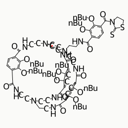 CCCCOc1c2ccc(c1OCCCC)C(=O)NCCN1CCNC(=O)c3ccc(c(OCCCC)c3OCCCC)C(=O)NCCN(CCNC2=O)CCNC(=O)c2ccc(c(OCCCC)c2OCCCC)C(=O)NCCN(CCNC(=O)c2ccc(C(=O)N3CCSC3=S)c(OCCCC)c2OCCCC)CC1